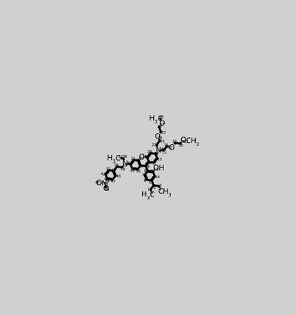 CCC(CC)c1ccc(-c2c3ccc(=[N+](CCOCCOC)CCOCCOC)cc-3oc3cc(N(CC)CCc4ccc([N+](=O)[O-])cc4)ccc23)c(O)c1